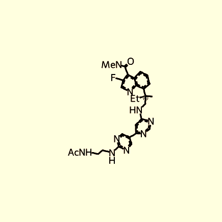 CC[C@@](C)(CNc1cc(-c2cnc(NCCNC(C)=O)nc2)ncn1)c1cccc2c(C(=O)NC)c(F)cnc12